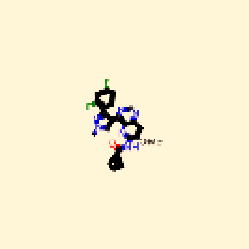 COc1cc2ncnc(-c3cn(C)nc3-c3ccc(F)cc3F)c2nc1NC(=O)C12CC(C1)C2